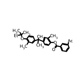 CCC(C)(C)Oc1ccc(C(C)(C)c2ccc(OC(=O)c3cccc(C(C)=O)c3)c(C)c2)cc1C